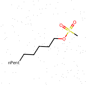 CCCCCCCCCCOS(C)(=O)=O